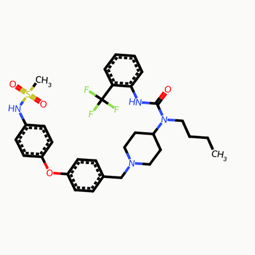 CCCCN(C(=O)Nc1ccccc1C(F)(F)F)C1CCN(Cc2ccc(Oc3ccc(NS(C)(=O)=O)cc3)cc2)CC1